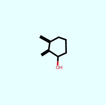 C=C1CCCC(O)C1=C